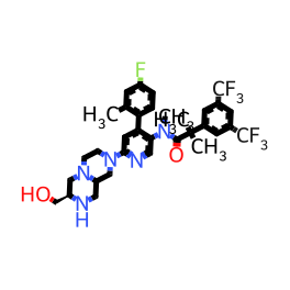 Cc1cc(F)ccc1-c1cc(N2CCN3C[C@H](CO)NCC3C2)ncc1N(C)C(=O)C(C)(C)c1cc(C(F)(F)F)cc(C(F)(F)F)c1